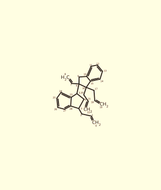 C=CCC1CC(C2(C=C)Cc3ccccc3C2(CC=C)CC=C)c2ccccc21